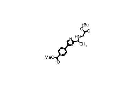 COC(=O)c1ccc(-c2cnc(C(C)NCC(=O)OC(C)(C)C)s2)cc1